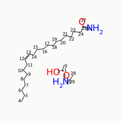 CC(=O)O.CCCCCCCC/C=C\CCCCCCCCCCCC(N)=O.CCN